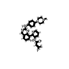 CN1CCN(c2ccc(Nc3ncc4cccc(-c5ncccc5NC(=O)C=C(F)F)c4n3)cc2)CC1